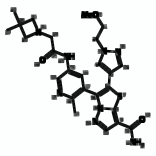 COCCn1cc(-c2sc3c(C(N)=O)cnn3c2-c2cc(NC(=O)CN3CC(C)(C)C3)cnc2C)cn1